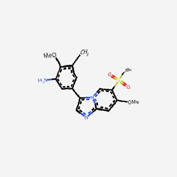 COc1cc2ncc(-c3cc(C)c(OC)c(N)c3)n2cc1S(=O)(=O)C(C)(C)C